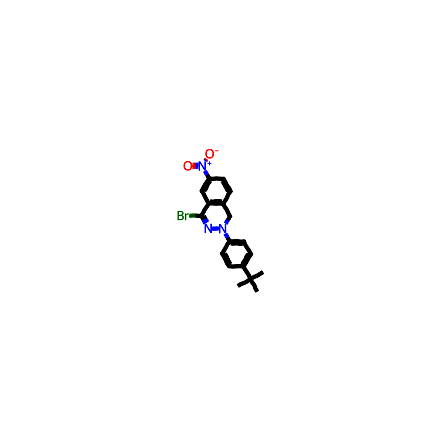 CC(C)(C)c1ccc(N2Cc3ccc([N+](=O)[O-])cc3C(Br)=N2)cc1